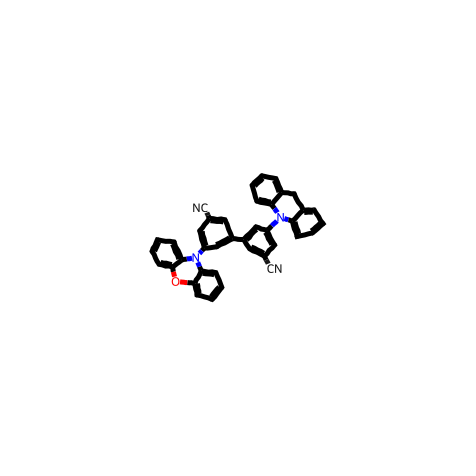 N#Cc1cc(-c2cc(C#N)cc(N3c4ccccc4Oc4ccccc43)c2)cc(N2c3ccccc3Cc3ccccc32)c1